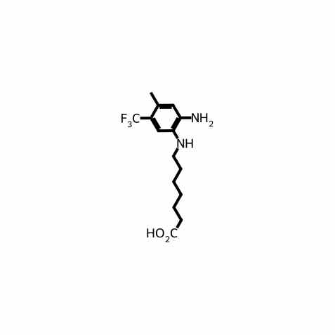 Cc1cc(N)c(NCCCCCCC(=O)O)cc1C(F)(F)F